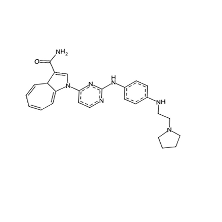 NC(=O)C1=CN(c2ccnc(Nc3ccc(NCCN4CCCC4)cc3)n2)C2=CC=CC=CC12